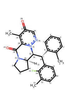 Cc1ccccc1[C@H](c1cccc(C)c1F)[C@H]1[C@H]2CCCN2C(=O)c2c(C)c(=O)cnn21